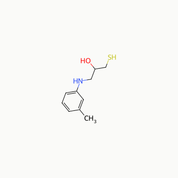 Cc1cccc(NCC(O)CS)c1